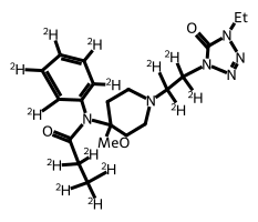 [2H]c1c([2H])c([2H])c(N(C(=O)C([2H])([2H])C([2H])([2H])[2H])C2(OC)CCN(C([2H])([2H])C([2H])([2H])n3nnn(CC)c3=O)CC2)c([2H])c1[2H]